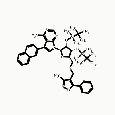 Cc1noc(-c2ccccc2)c1CSC[C@H]1O[C@@H](n2cc(-c3ccc4ccccc4c3)c3c(N)ncnc32)[C@H](O[Si](C)(C)C(C)(C)C)[C@@H]1O[Si](C)(C)C(C)(C)C